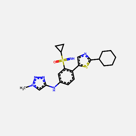 Cn1cc(Nc2ccc(-c3cnc(C4CCCCC4)s3)c(S(=N)(=O)C3CC3)c2)nn1